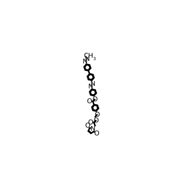 CN=Nc1ccc(-c2ccc(N=Nc3ccc(OC(=O)c4ccc(OCOC(=O)CN5C(=O)C=CC5=O)cc4)cc3)cc2)cc1